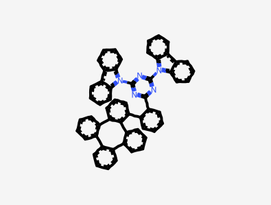 c1ccc(-c2cccc3c2-c2ccccc2-c2ccccc2-c2ccccc2-3)c(-c2nc(-n3c4ccccc4c4ccccc43)nc(-n3c4ccccc4c4ccccc43)n2)c1